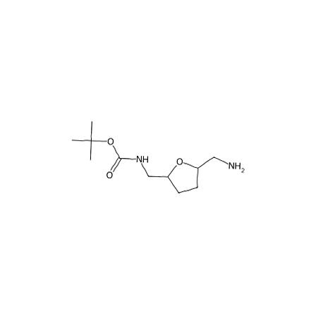 CC(C)(C)OC(=O)NCC1CCC(CN)O1